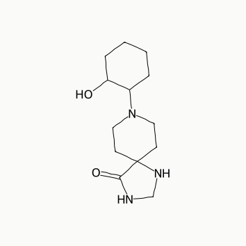 O=C1NCNC12CCN(C1CCCCC1O)CC2